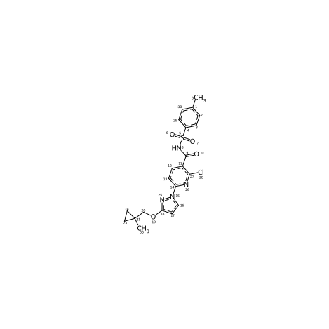 Cc1ccc(S(=O)(=O)NC(=O)c2ccc(-n3ccc(OCC4(C)CC4)n3)nc2Cl)cc1